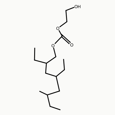 CCC(C)CC(CC)CC(CC)COC(=O)OCCO